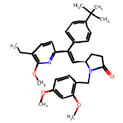 CCc1ccc(C(=C[C@H]2CCC(=O)N2Cc2ccc(OC)cc2OC)c2ccc(C(C)(C)C)cc2)nc1OC